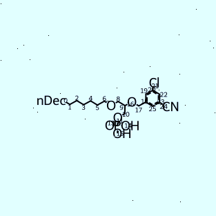 CCCCCCCCCCCCCCCCOCC(COP(=O)(O)O)OCc1cc(Cl)cc(C#N)c1